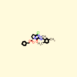 Cc1ccc(C)c([C@@H](C)Nc2nc(Cl)c3n(c2=O)[C@H](C(=O)OCc2ccccc2)CC3)c1